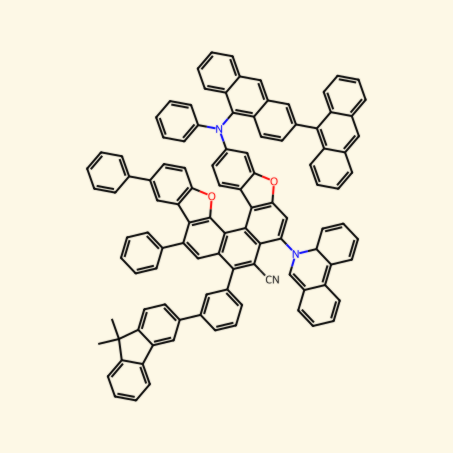 CC1(C)c2ccccc2-c2cc(-c3cccc(-c4c(C#N)c5c(N6C=c7ccccc7=C7C=CC=CC76)cc6oc7cc(N(c8ccccc8)c8c9ccccc9cc9cc(-c%10c%11ccccc%11cc%11ccccc%10%11)ccc89)ccc7c6c5c5c4cc(-c4ccccc4)c4c6cc(-c7ccccc7)ccc6oc45)c3)ccc21